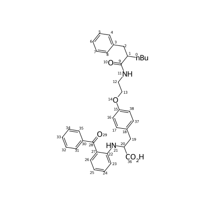 CCCCC(Cc1ccccc1)C(=O)NCCOc1ccc(CC(Nc2ccccc2C(=O)c2ccccc2)C(=O)O)cc1